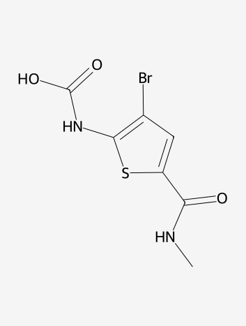 CNC(=O)c1cc(Br)c(NC(=O)O)s1